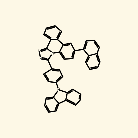 c1ccc2c(-c3ccc4c(c3)c3ccccc3c3nnc(-c5ccc(-n6c7ccccc7c7ccccc76)cc5)n43)cccc2c1